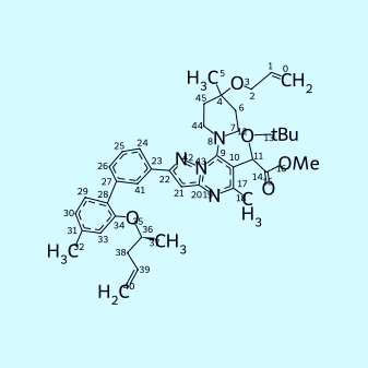 C=CCOC1(C)CCN(c2c(C(OC(C)(C)C)C(=O)OC)c(C)nc3cc(-c4cccc(-c5ccc(C)cc5O[C@@H](C)CC=C)c4)nn23)CC1